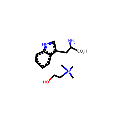 C[N+](C)(C)CCO.NC(Cc1c[nH]c2ccccc12)C(=O)O